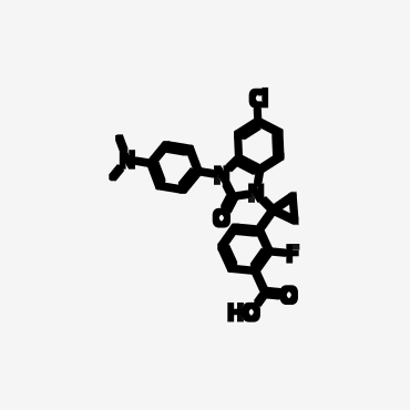 CN(C)c1ccc(-n2c(=O)n(C3(c4cccc(C(=O)O)c4F)CC3)c3ccc(Cl)cc32)cc1